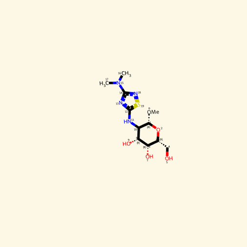 CO[C@@H]1O[C@H](CO)[C@H](O)[C@H](O)C1Nc1nc(N(C)C)ns1